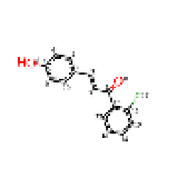 O=C(C=Cc1ccc(O)cc1)c1ccccc1F